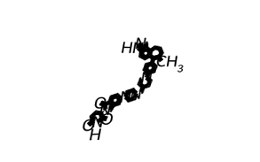 CC1=C(c2ccc(N3CCC(CN4CCN(c5ccc6c(c5)CN([C@H]5CCC(=O)NC5=O)C6=O)CC4)CC3)cc2)c2ccc3[nH]ncc3c2CCC1